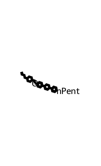 C=CCCC1CCC(COc2ccc(C3C=CC(c4ccc(CCCCC)cc4)CC3)cc2)CC1